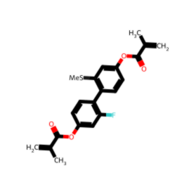 C=C(C)C(=O)Oc1ccc(-c2ccc(OC(=O)C(=C)C)cc2SC)c(F)c1